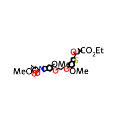 CCOC(=O)[C@@H](C)CC(=O)c1cc2cc(OCCCOc3cc4c(cc3OC)CN(C(=O)C[C@H](C)C(=O)OC)C4)c(OC)cc2s1